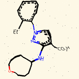 CCc1ccccc1-n1cc(C(=O)O)c(NC2CCOCC2)n1